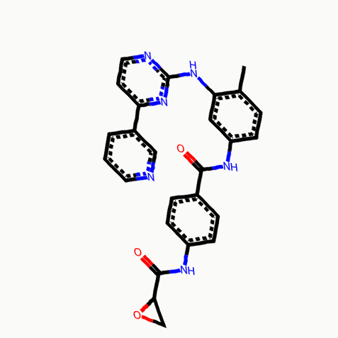 Cc1ccc(NC(=O)c2ccc(NC(=O)C3CO3)cc2)cc1Nc1nccc(-c2cccnc2)n1